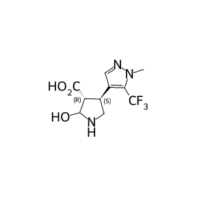 Cn1ncc([C@H]2CNC(O)[C@@H]2C(=O)O)c1C(F)(F)F